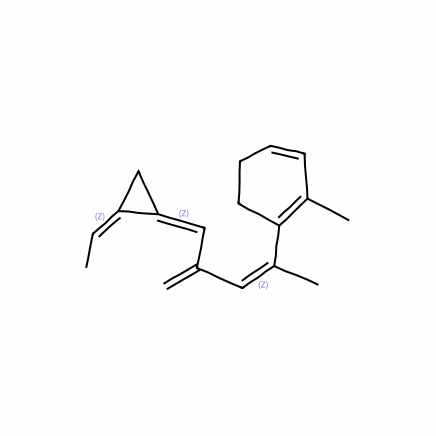 C=C(/C=C(/C)C1=C(C)C=CCC1)/C=C1/C/C1=C/C